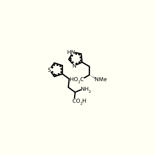 CN[C@@H](Cc1c[nH]cn1)C(=O)O.NC(CCc1ccsc1)C(=O)O